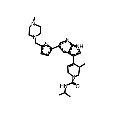 CC(C)NC(=O)N1CC=C(c2c[nH]c3ncc(-c4ccc(CN5CCN(C)CC5)s4)cc23)C(C)C1